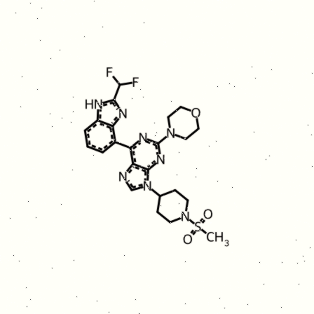 CS(=O)(=O)N1CCC(n2cnc3c(-c4cccc5[nH]c(C(F)F)nc45)nc(N4CCOCC4)nc32)CC1